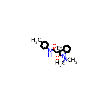 CCC1(CC(=O)Nc2ccc(C)cc2)C(=O)N(N(C)C)c2ccccc21